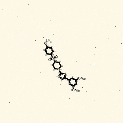 COc1cc(OC)cc(-c2csc(N3CCC(S(=O)(=O)c4ccc(OC(F)(F)F)cc4)CC3)n2)c1